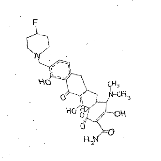 CN(C)C1C(O)=C(C(N)=O)C(=O)C2(O)C(O)=C3C(=O)c4c(ccc(CN5CCC(F)CC5)c4O)CC3CC12